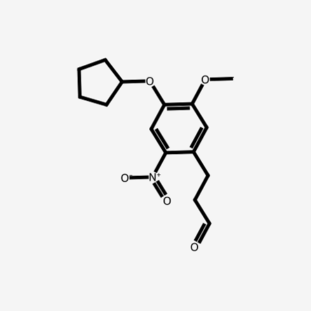 COc1cc(CCC=O)c([N+](=O)[O-])cc1OC1CCCC1